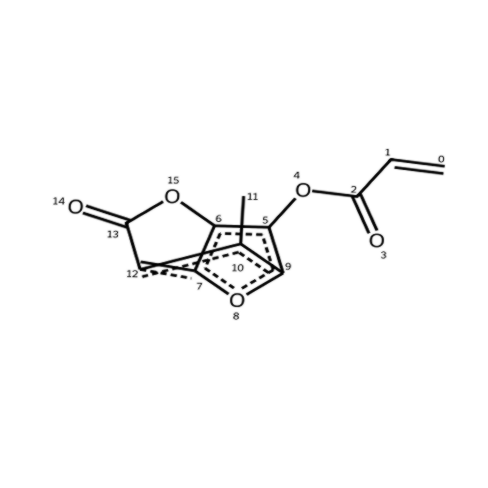 C=CC(=O)Oc1c2c3oc1c(C)c3C(=O)O2